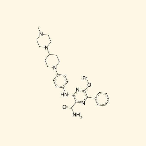 CC(C)Oc1nc(Nc2ccc(N3CCC(N4CCN(C)CC4)CC3)cc2)c(C(N)=O)nc1-c1ccccc1